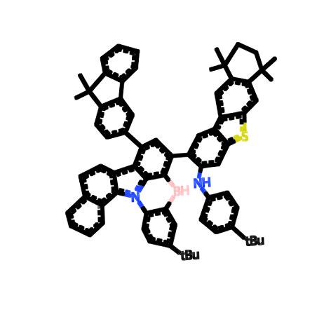 CC(C)(C)c1ccc(Nc2cc3sc4cc5c(cc4c3cc2-c2cc(-c3ccc4c(c3)-c3ccccc3C4(C)C)c3c4ccc6ccccc6c4n4c3c2Bc2cc(C(C)(C)C)ccc2-4)C(C)(C)CCC5(C)C)cc1